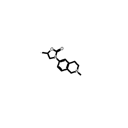 [CH2]C1CN(c2ccc3c(c2)CCN(C)C3)C(=O)O1